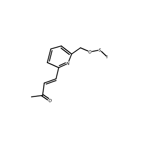 CC(=O)/C=C/c1cccc(COSI)n1